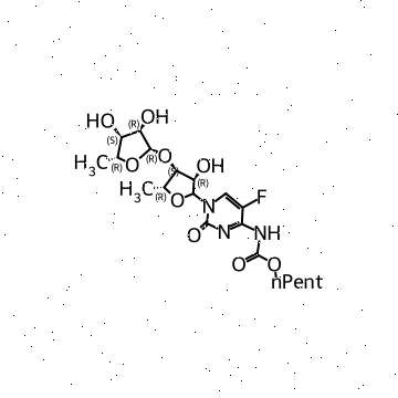 CCCCCOC(=O)Nc1nc(=O)n(C2O[C@H](C)[C@@H](O[C@H]3O[C@H](C)[C@@H](O)[C@H]3O)[C@H]2O)cc1F